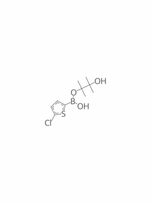 CC(C)(O)C(C)(C)OB(O)c1ccc(Cl)s1